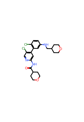 O=C(Nc1cc(-c2cc(NCC3CCOCC3)ccc2Cl)c(Cl)cn1)C1CCOCC1